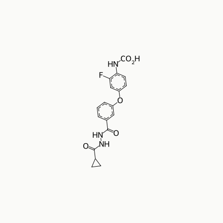 O=C(O)Nc1ccc(Oc2cccc(C(=O)NNC(=O)C3CC3)c2)cc1F